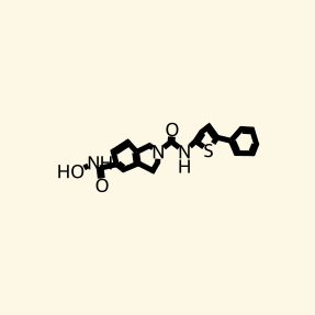 O=C(NO)c1ccc2c(c1)CCN(C(=O)Nc1ccc(-c3ccccc3)s1)C2